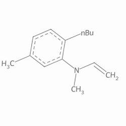 C=CN(C)c1cc(C)ccc1CCCC